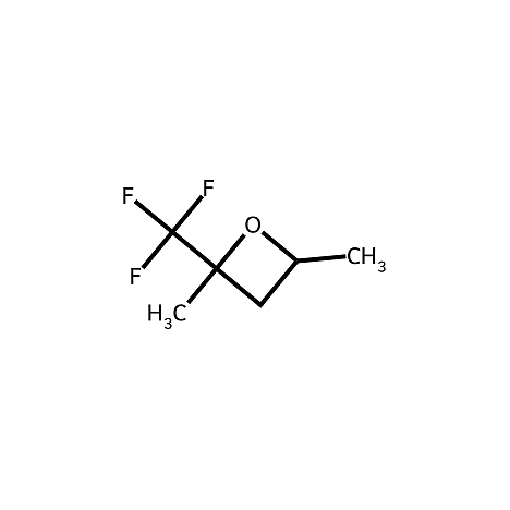 CC1CC(C)(C(F)(F)F)O1